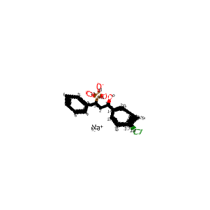 O=C(CC(c1ccccc1)S(=O)(=O)[O-])c1ccc(Cl)cc1.[Na+]